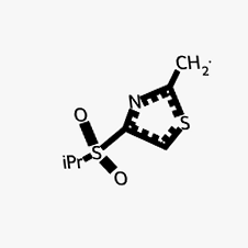 [CH2]c1nc(S(=O)(=O)C(C)C)cs1